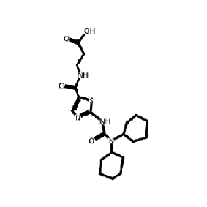 O=C(O)CCNC(=O)c1cnc(NC(=O)N(C2CCCCC2)C2CCCCC2)s1